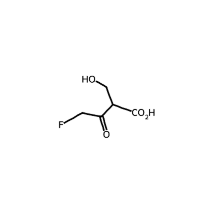 O=C(O)C(CO)C(=O)CF